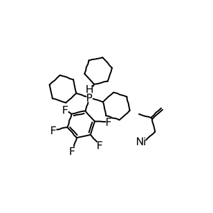 C=C(C)[CH2][Ni].Fc1c(F)c(F)c([PH](C2CCCCC2)(C2CCCCC2)C2CCCCC2)c(F)c1F